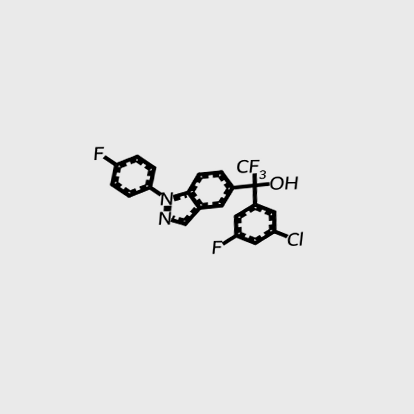 OC(c1cc(F)cc(Cl)c1)(c1ccc2c(cnn2-c2ccc(F)cc2)c1)C(F)(F)F